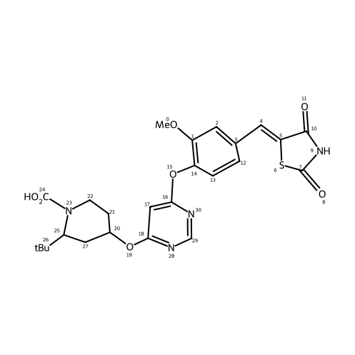 COc1cc(/C=C2\SC(=O)NC2=O)ccc1Oc1cc(OC2CCN(C(=O)O)C(C(C)(C)C)C2)ncn1